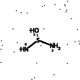 [NH]SN.[OH]